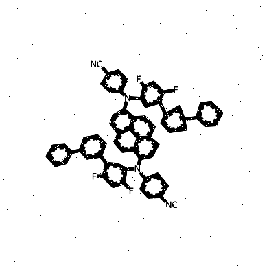 [C-]#[N+]c1ccc(N(c2cc(-c3cccc(-c4ccccc4)c3)c(F)cc2F)c2ccc3ccc4c(N(c5ccc(C#N)cc5)c5cc(-c6cccc(-c7ccccc7)c6)c(F)cc5F)ccc5ccc2c3c54)cc1